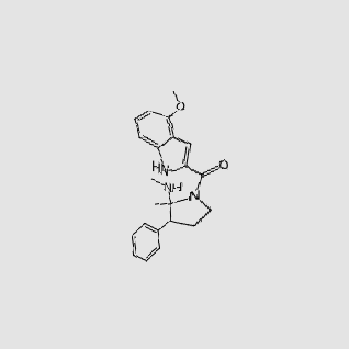 CNC1(C)C(c2ccccc2)CCN1C(=O)c1cc2c(OC)cccc2[nH]1